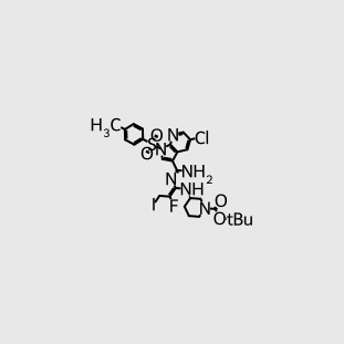 Cc1ccc(S(=O)(=O)n2cc(/C(N)=N/C(N[C@H]3CCCN(C(=O)OC(C)(C)C)C3)=C(/F)CI)c3cc(Cl)cnc32)cc1